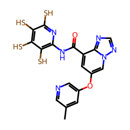 Cc1cncc(Oc2cc(C(=O)Nc3nc(S)c(S)c(S)c3S)c3ncnn3c2)c1